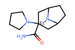 CCN1C2CCC1CC(C(N)=O)(N1CCCC1)C2